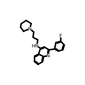 Fc1cccc(-c2cc(NCCCN3CCCCC3)c3ccccc3n2)c1